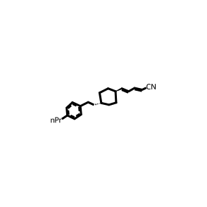 CCCc1ccc(CC[C@H]2CC[C@H](C=CC=CC#N)CC2)cc1